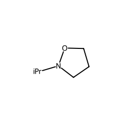 CC(C)N1CCCO1